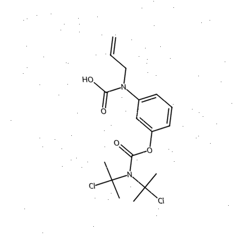 C=CCN(C(=O)O)c1cccc(OC(=O)N(C(C)(C)Cl)C(C)(C)Cl)c1